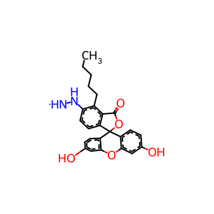 CCCCCc1c(N[NH])ccc2c1C(=O)OC21c2ccc(O)cc2Oc2cc(O)ccc21